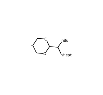 CCCCCCCC(CCCC)C1OC[CH]CO1